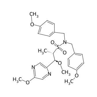 COc1ccc(CN(Cc2ccc(OC)cc2)S(=O)(=O)[C@@H](C)[C@@H](OC)c2cnc(OC)cn2)cc1